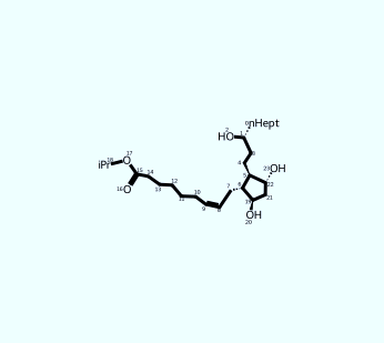 CCCCCCC[C@@H](O)CC[C@@H]1[C@@H](C/C=C\CCCCCC(=O)OC(C)C)[C@H](O)C[C@H]1O